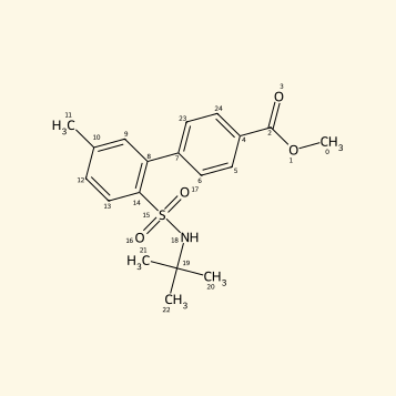 COC(=O)c1ccc(-c2cc(C)ccc2S(=O)(=O)NC(C)(C)C)cc1